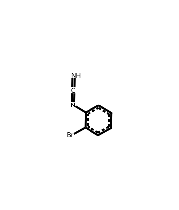 N=C=Nc1ccccc1Br